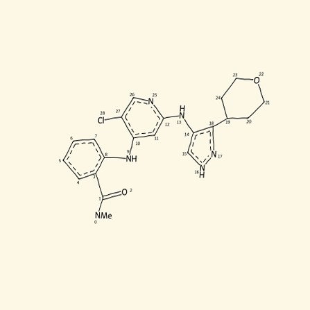 CNC(=O)c1ccccc1Nc1cc(Nc2c[nH]nc2C2CCOCC2)ncc1Cl